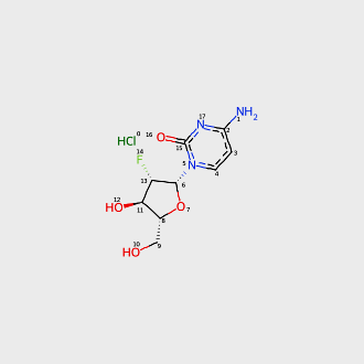 Cl.Nc1ccn([C@@H]2O[C@H](CO)[C@@H](O)[C@@H]2F)c(=O)n1